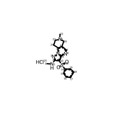 CNc1nn2c3c(cnc2c1S(=O)(=O)c1ccccc1)CN(C)CC3.Cl